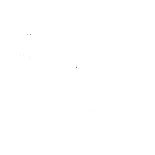 COc1cc2c(cc1OC)C(Cc1ccc(N(C)C)cc1)N(CC(=O)NC1CCCc3ccccc31)CC2